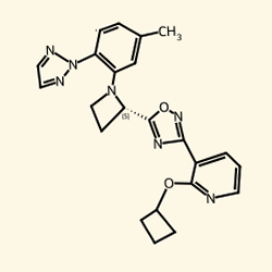 Cc1c[c]c(-n2nccn2)c(N2CC[C@H]2c2nc(-c3cccnc3OC3CCC3)no2)c1